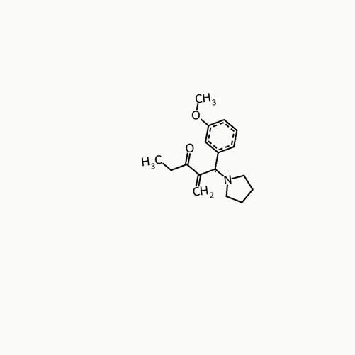 C=C([C](c1cccc(OC)c1)N1CCCC1)C(=O)CC